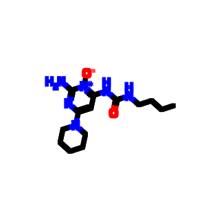 CCCCNC(=O)Nc1cc(N2CCCCC2)nc(N)[n+]1[O-]